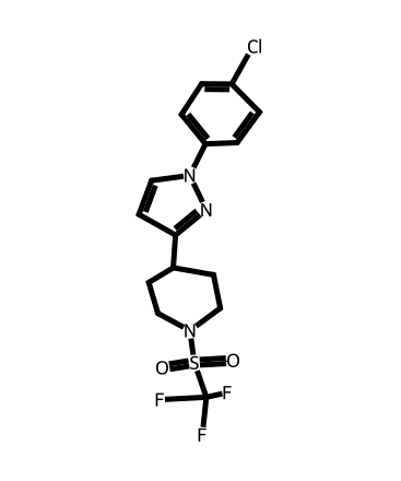 O=S(=O)(N1CCC(c2ccn(-c3ccc(Cl)cc3)n2)CC1)C(F)(F)F